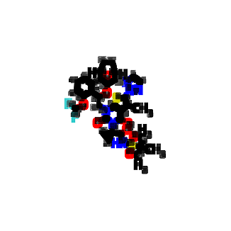 Cc1c(-n2nccn2)sc2c1c(=O)n(C1(C(=O)NS(=O)(=O)C(C)(C)C)CC1)c(=O)n2C[C@H](OC1C[C@H]2CC[C@@H](C1)O2)c1ccccc1OC(F)F